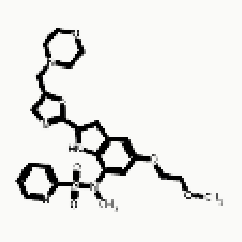 COCCOc1cc2c(c(N(C)S(=O)(=O)c3ccccn3)c1)NC(C1=NCC(CN3CCOCC3)S1)C2